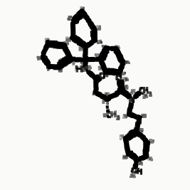 C[C@H](CC(=O)NC(c1ccccc1)(c1ccccc1)c1ccccc1)C(=O)N(C)CCc1ccc(O)cc1